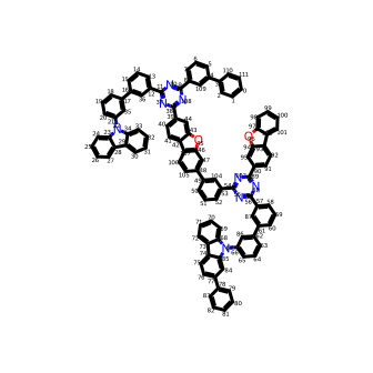 c1ccc(-c2cccc(-c3nc(-c4cccc(-c5cccc(-n6c7ccccc7c7ccccc76)c5)c4)nc(-c4ccc5c(c4)oc4cc(-c6cccc(-c7nc(-c8cccc(-c9cccc(-n%10c%11ccccc%11c%11ccc(-c%12ccccc%12)cc%11%10)c9)c8)nc(-c8ccc9c(c8)oc8ccccc89)n7)c6)ccc45)n3)c2)cc1